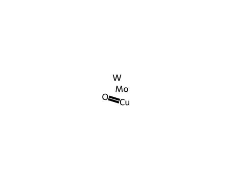 [Mo].[O]=[Cu].[W]